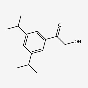 CC(C)c1cc(C(=O)CO)cc(C(C)C)c1